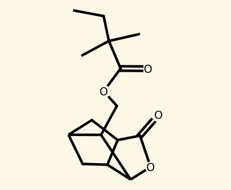 CCC(C)(C)C(=O)OCC1C2CC3C(=O)OC1C3C2